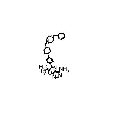 CC1(C)Oc2ncnc(N)c2N=C1c1ccc([C@H]2CC[C@H](CN3CCN(Cc4ccccc4)CC3)CC2)cc1